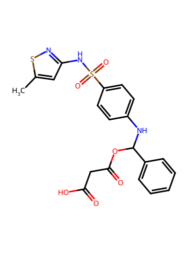 Cc1cc(NS(=O)(=O)c2ccc(NC(OC(=O)CC(=O)O)c3ccccc3)cc2)ns1